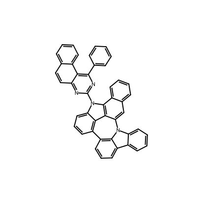 c1ccc(-c2nc(-n3c4cccc5c6cccc7c8ccccc8n(c8cc9ccccc9c3c8c54)c67)nc3ccc4ccccc4c23)cc1